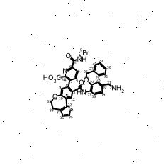 CCCNC(=O)c1ccc(-c2cc3c(cc2C(=O)Nc2ccc(CN)cc2OCc2ccccc2)-c2sccc2CCO3)c(C(=O)O)n1